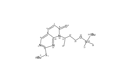 CCCCSc1ncc2ccc(=O)n(C(C)CCO[Si](C)(C)C(C)(C)C)c2n1